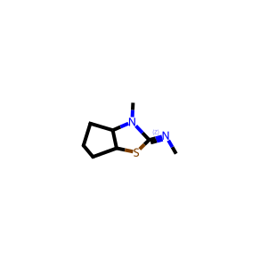 C/N=C1\SC2CCCC2N1C